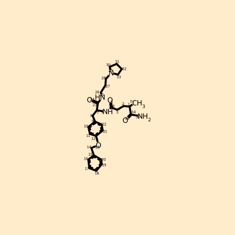 CC(C[CH]C(=O)NC(Cc1ccc(OCc2ccccc2)cc1)C(=O)NCCCN1CCCC1)C(N)=O